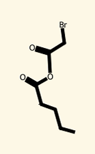 CCC[CH]C(=O)OC(=O)CBr